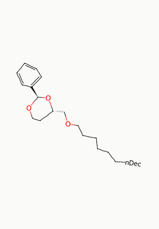 CCCCCCCCCCCCCCCCOC[C@@H]1CCO[C@@H](c2ccccc2)O1